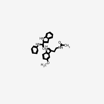 COc1ccc2[nH]cc(CCNC(C)=O)c2c1.O=C(Nc1ccccc1)c1cc2ccccc2[nH]1